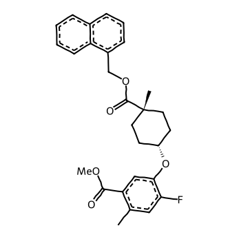 COC(=O)c1cc(O[C@H]2CC[C@@](C)(C(=O)OCc3cccc4ccccc34)CC2)c(F)cc1C